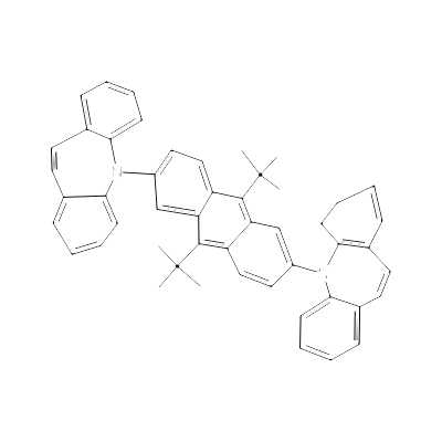 CC(C)(C)c1c2ccc(N3c4ccccc4C=Cc4ccccc43)cc2c(C(C)(C)C)c2ccc(N3C4=C(C=CCC4)C=Cc4ccccc43)cc12